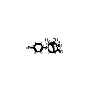 CC1(C)CC2CN(c3ccc(F)cc3)[C@@H]1CNC2=O